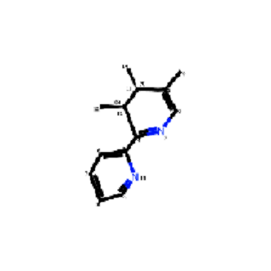 CC1=CN=C(c2ccccn2)[C@@H](C)[C@H]1C